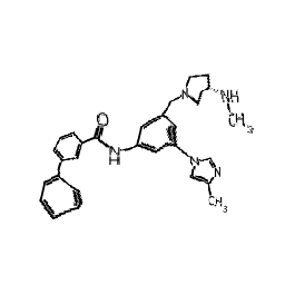 CN[C@H]1CCN(Cc2cc(NC(=O)c3cccc(-c4ccccc4)c3)cc(-n3cnc(C)c3)c2)C1